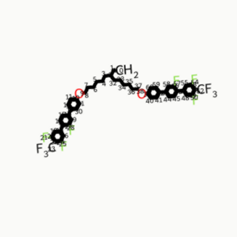 C=CC(CCCCCCOc1ccc(-c2ccc(-c3cc(F)c(C(F)(F)F)c(F)c3)c(F)c2)cc1)CCCCCCOc1ccc(-c2ccc(-c3cc(F)c(C(F)(F)F)c(F)c3)c(F)c2)cc1